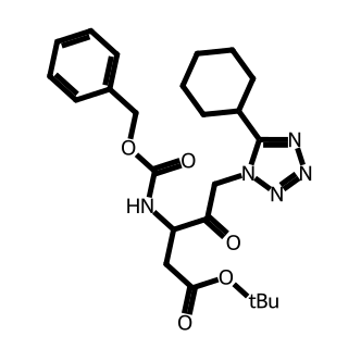 CC(C)(C)OC(=O)CC(NC(=O)OCc1ccccc1)C(=O)Cn1nnnc1C1CCCCC1